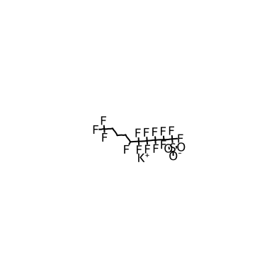 O=S(=O)([O-])C(F)(F)C(F)(F)C(F)(F)C(F)(F)C(F)(F)C(F)CCCC(F)(F)F.[K+]